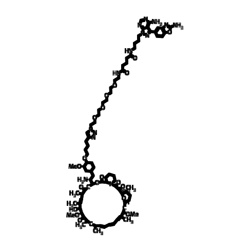 COC1C[C@@H]2CC[C@@H](C)[C@@](O)(O2)C(=O)C(=O)N2CCCCC2C(=O)OC([C@H](N)CC2CCC(OCCCCc3cn(CCOCCOCCOCCOCCNC(=O)CCCC(=O)NCCCCn4nc(-c5ccc6oc(N)nc6c5)c5c(N)ncnc54)nn3)[C@H](OC)C2)CC(=O)C(C)/C=C(\C)C(O)[C@@H](OC)C(=O)C(C)CC(C)/C=C/C=C/C=C/1C